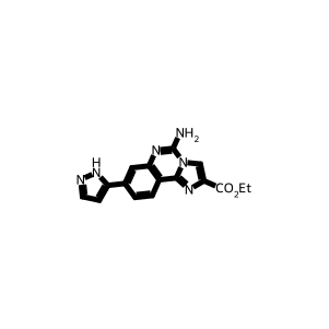 CCOC(=O)c1cn2c(N)nc3cc(-c4ccn[nH]4)ccc3c2n1